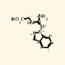 NC(=Nn1ncc2ccccc21)NCC(=O)O